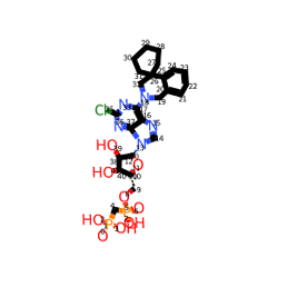 O=P(O)(O)CP(=O)(O)OC[C@H]1O[C@@H](n2cnc3c(N4Cc5ccccc5C5(CCCCC5)C4)nc(Cl)nc32)C(O)C1O